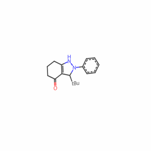 CC(C)(C)C1C2=C(CCCC2=O)NN1c1ccccc1